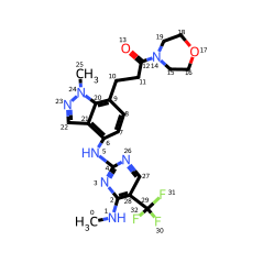 CNc1nc(Nc2ccc(CCC(=O)N3CCOCC3)c3c2cnn3C)ncc1C(F)(F)F